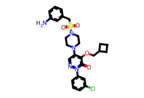 Nc1cccc(CS(=O)(=O)N2CCN(c3cnn(-c4cccc(Cl)c4)c(=O)c3OCC3CCC3)CC2)c1